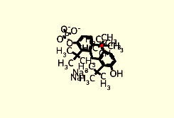 CC(C)(C)c1ccc(O)c(C(C)(C)C)c1Cc1c(C(C)(C)C)ccc(OP(=O)([O-])[O-])c1C(C)(C)C.[Na+].[Na+]